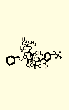 CN(C(=O)OC(C)(C)C)[C@H](C(=O)OOCc1ccccc1)C(C(C)(C)F)C(C)(C)c1ccc(OC(F)(F)F)cc1